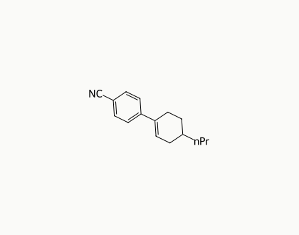 CCCC1CC=C(c2ccc(C#N)cc2)CC1